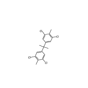 Cc1c(Cl)cc(C(C)(C)c2cc(Cl)c(C)c(Cl)c2)cc1Cl